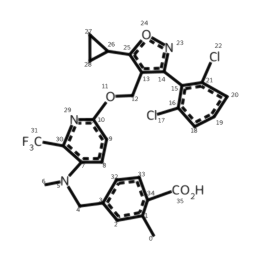 Cc1cc(CN(C)c2ccc(OCc3c(-c4c(Cl)cccc4Cl)noc3C3CC3)nc2C(F)(F)F)ccc1C(=O)O